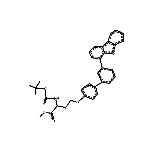 COC(=O)C(CCOc1ccc(-c2cccc(-c3cccc4c3oc3ccccc34)c2)cc1)NC(=O)OC(C)(C)C